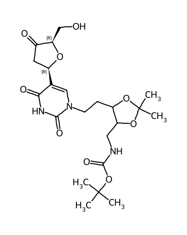 CC(C)(C)OC(=O)NCC1OC(C)(C)OC1CCn1cc([C@H]2CC(=O)[C@@H](CO)O2)c(=O)[nH]c1=O